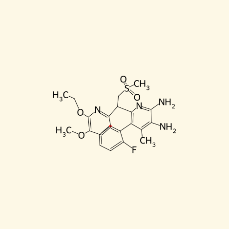 CCOc1nc(C(CS(C)(=O)=O)c2nc(N)c(N)c(C)c2-c2ccccc2F)ccc1OC